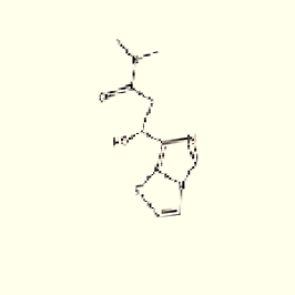 CN(C)C(=O)CC(O)c1ncn2ccsc12